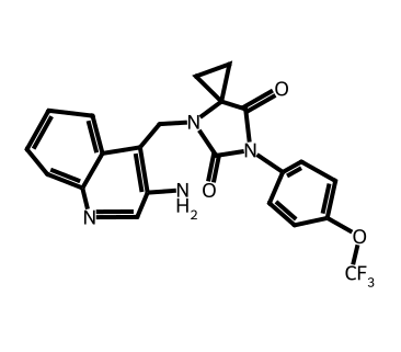 Nc1cnc2ccccc2c1CN1C(=O)N(c2ccc(OC(F)(F)F)cc2)C(=O)C12CC2